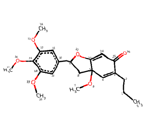 CCCC1=CC2(OC)CC(c3cc(OC)c(OC)c(OC)c3)OC2=CC1=O